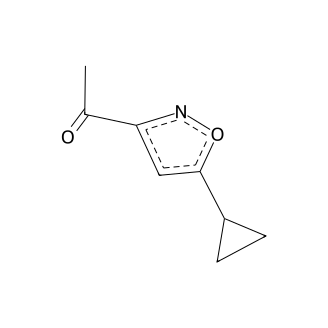 CC(=O)c1cc(C2CC2)on1